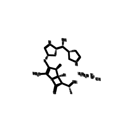 C[C@@H]1C(S[C@@H]2CN[C@H]([C@H](O)[C@@H]3CCNC3)C2)=C(C(=O)O)N2C(=O)[C@H]([C@@H](C)O)[C@H]12.Cl.O.O.O